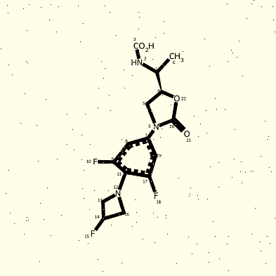 CC(NC(=O)O)[C@@H]1CN(c2cc(F)c(N3CC(F)C3)c(F)c2)C(=O)O1